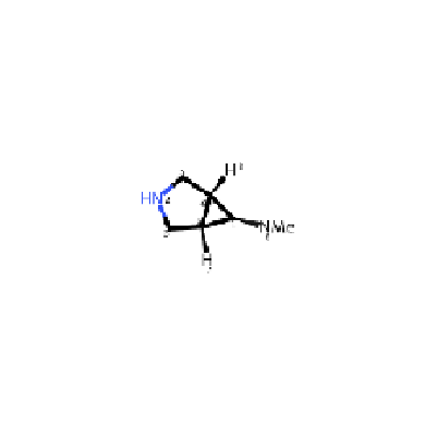 CN[C@H]1[C@@H]2CNC[C@@H]21